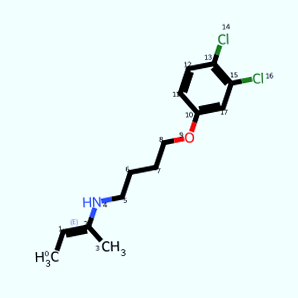 C/C=C(\C)NCCCCOc1ccc(Cl)c(Cl)c1